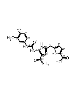 Cc1cc(NC(=O)Nc2[nH]c(Cc3ccc(C(=O)O)s3)nc2C(N)=O)ccc1F